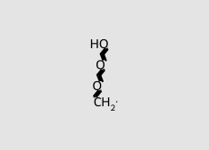 [CH2]CCOCCCOCCCO